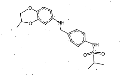 CC1COc2ccc(NCc3ccc(NS(=O)(=O)C(C)C)cc3)cc2O1